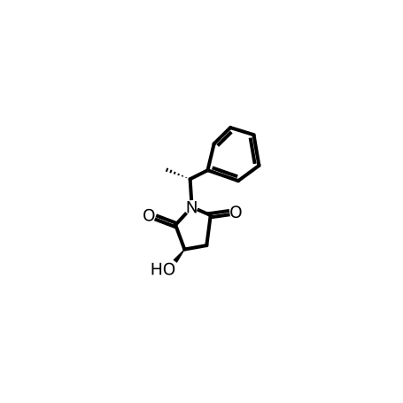 C[C@H](c1ccccc1)N1C(=O)C[C@@H](O)C1=O